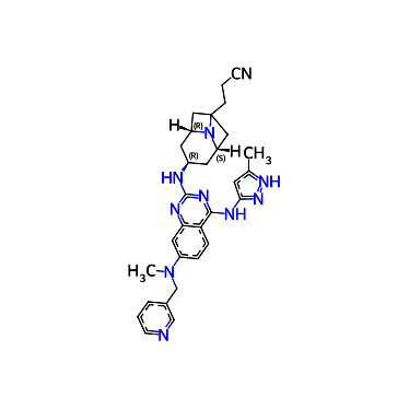 Cc1cc(Nc2nc(N[C@H]3C[C@@H]4CC5(CCC#N)C[C@H](C3)N45)nc3cc(N(C)Cc4cccnc4)ccc23)n[nH]1